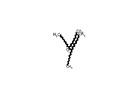 CCCCCCCCCCCC(CCCCCCCCCCC)C(=O)C(CCCCCCCCCCC)CCCCCCCCCCC